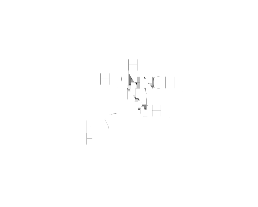 CNC1=CN(C)C(CCC2=CC=C(CC(F)F)CC2)N=C1NC